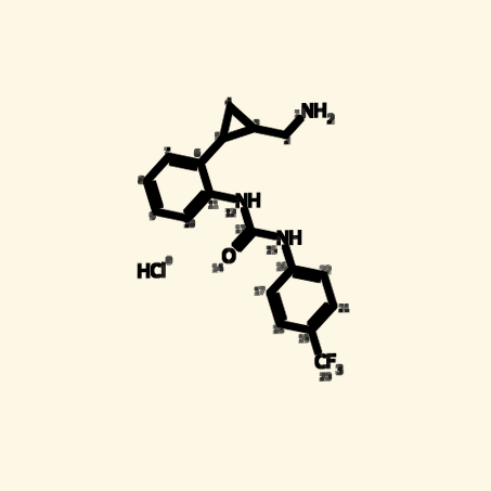 Cl.NCC1CC1c1ccccc1NC(=O)Nc1ccc(C(F)(F)F)cc1